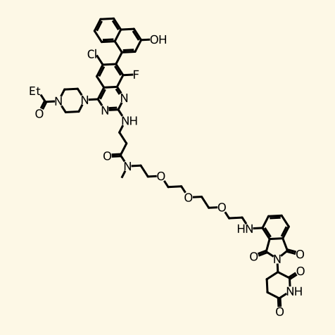 CCC(=O)N1CCN(c2nc(NCCC(=O)N(C)CCOCCOCCOCCNc3cccc4c3C(=O)N(C3CCC(=O)NC3=O)C4=O)nc3c(F)c(-c4cc(O)cc5ccccc45)c(Cl)cc23)CC1